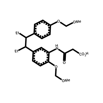 CCC(c1ccc(OCOC)cc1)C(CC)c1ccc(OCOC)c(NC(=O)CC(=O)O)c1